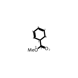 COC(=O)C1C=CC=CC1